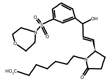 O=C(O)CCCCCCN1C(=O)CC[C@@H]1/C=C/C(O)c1cccc(S(=O)(=O)N2CCOCC2)c1